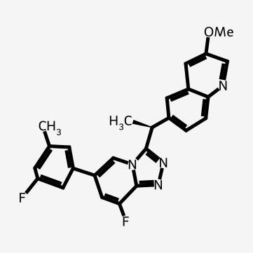 COc1cnc2ccc([C@H](C)c3nnc4c(F)cc(-c5cc(C)cc(F)c5)cn34)cc2c1